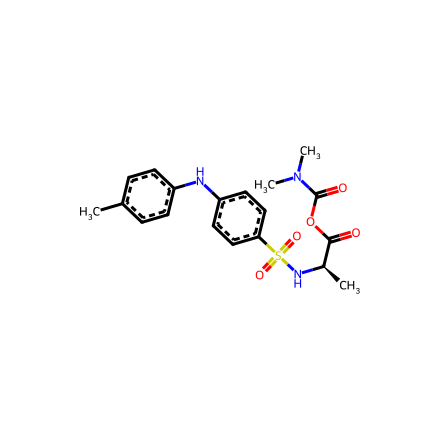 Cc1ccc(Nc2ccc(S(=O)(=O)N[C@H](C)C(=O)OC(=O)N(C)C)cc2)cc1